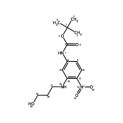 CC(C)(C)OC(=O)Nc1ccc([N+](=O)[O-])c(NCCCO)c1